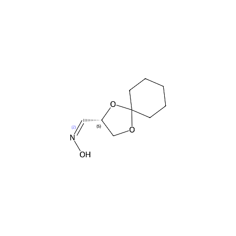 O/N=C\[C@H]1COC2(CCCCC2)O1